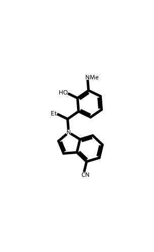 CCC(c1cccc(NC)c1O)n1ccc2c(C#N)cccc21